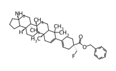 CC1(C)C(C2=CC[C@](CF)(C(=O)OCc3ccccc3)CC2)=CC[C@@]2(C)C1CC[C@]1(C)C2CC[C@@H]2C3CCC[C@]3(N)CC[C@]21C